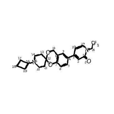 O=c1cc(-c2ccc3c(c2)COC2(CCN(C4CCC4)CC2)O3)ccn1CC(F)(F)F